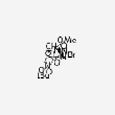 COC(=O)Cn1c2c(c(=O)n3nc(Br)nc13)C1(CCN(C(=O)OC(C)(C)C)CC1)OC2C